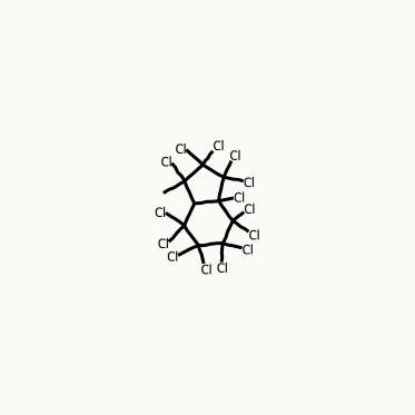 CC1(Cl)C2C(Cl)(Cl)C(Cl)(Cl)C(Cl)(Cl)C(Cl)(Cl)C2(Cl)C(Cl)(Cl)C1(Cl)Cl